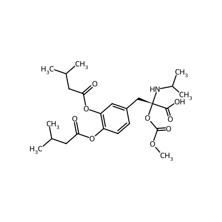 COC(=O)O[C@](Cc1ccc(OC(=O)CC(C)C)c(OC(=O)CC(C)C)c1)(NC(C)C)C(=O)O